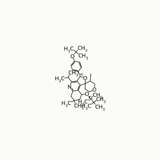 CC(C)c1nc2c(c3c1[C@@H](c1ccc(OC(C)(C)C)cc1)OC31CCOCC1I)C(O[Si](C)(C)C(C)(C)C)CC(C)(C)C2